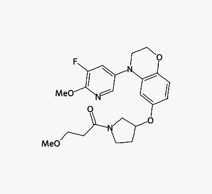 COCCC(=O)N1CCC(Oc2ccc3c(c2)N(c2cnc(OC)c(F)c2)CCO3)C1